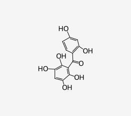 O=C(c1ccc(O)cc1O)c1c(O)c(O)cc(O)c1O